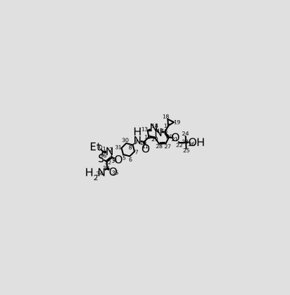 CCc1nc(O[C@H]2CC[C@H](NC(=O)c3cnn4c(C5CC5)c(OCC(C)(C)O)ccc34)CC2)c(C(N)=O)s1